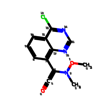 CON(C)C(=C=O)c1cccc2c(Cl)ncnc12